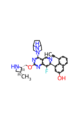 C#Cc1cccc2cc(O)cc(-c3ncc4c(N5CC6CCC(C5)N6)nc(OC[C@H]5NC[C@H]5C)nc4c3F)c12